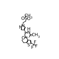 C[C@H]1C[C@@]2(C[C@@H](c3cnn(CCS(C)(=O)=O)c3)N1)OCCc1sc(C(F)(F)F)cc12